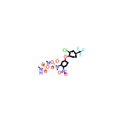 CNS(=O)(=O)ON(C)OS(=O)(=O)N(C)c1cc(Oc2ccc(C(F)(F)F)cc2Cl)ccc1[N+](=O)[O-]